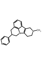 CN1CCc2c(c3cccc4c3n2CC(c2ccncc2)C4)C1